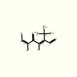 C=C/C(=C(\C)C(=C)/C(C)=C\C)C(F)(F)F